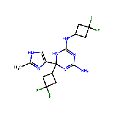 Cc1nc(C2(C3CC(F)(F)C3)N=C(N)N=C(NC3CC(F)(F)C3)N2)c[nH]1